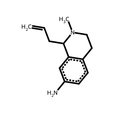 C=CCC1c2cc(N)ccc2CCN1C